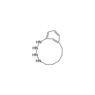 c1cc2cc(c1)NNNNCCCCC2